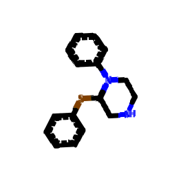 c1ccc(SC2CNCCN2c2ccccc2)cc1